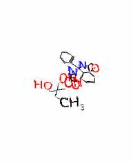 CCC(CO)(CO)CO.O=C=NC(N=C=O)(c1ccccc1)c1ccccc1